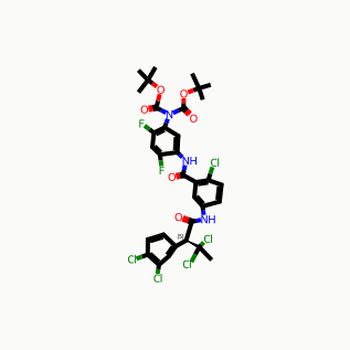 CC(C)(C)OC(=O)N(C(=O)OC(C)(C)C)c1cc(NC(=O)c2cc(NC(=O)[C@H](c3ccc(Cl)c(Cl)c3)C(C)(Cl)Cl)ccc2Cl)c(F)cc1F